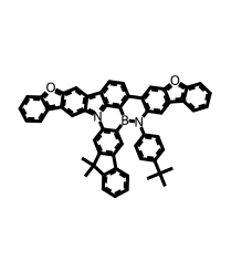 CC(C)(C)c1ccc(N2B3c4cc5c(cc4-n4c6cc7c(cc6c6ccc(c3c64)-c3cc4oc6ccccc6c4cc32)oc2ccccc27)C(C)(C)c2ccccc2-5)cc1